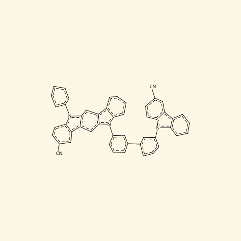 N#Cc1ccc2c(c1)c1ccccc1n2-c1cccc(-c2cccc(-n3c4ccccc4c4cc5c(cc43)c3cc(C#N)ccc3n5-c3ccccc3)c2)c1